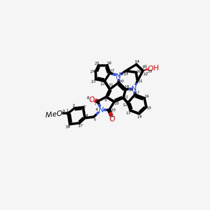 COc1ccc(CN2C(=O)c3c(c4c5ccccc5n5c4c4c3c3ccccc3n4C3CC5[C@H](O)C3)C2=O)cc1